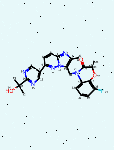 Cc1nc2ccc(-c3cnc(C(C)(C)O)nc3)nn2c1CN1C(=O)[C@@H](C)Oc2c(F)cccc21